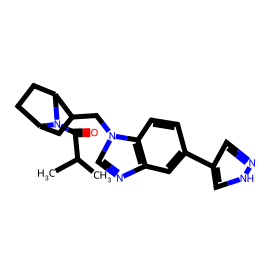 CC(C)C(=O)N1C2CCC1C(Cn1cnc3cc(-c4cn[nH]c4)ccc31)C2